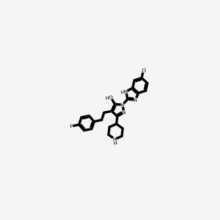 Oc1c(CCc2ccc(F)cc2)c(C2CCNCC2)nn1-c1nc2ccc(Cl)cc2[nH]1